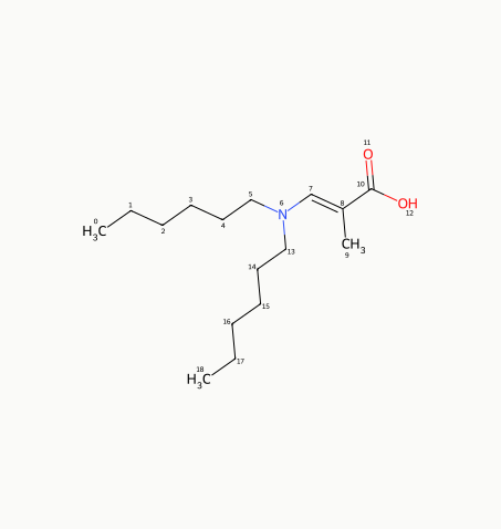 CCCCCCN(/C=C(\C)C(=O)O)CCCCCC